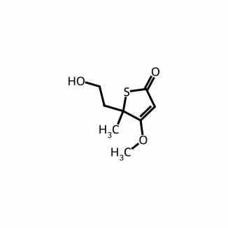 COC1=CC(=O)SC1(C)CCO